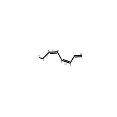 C=C/C=C\C=C/CC